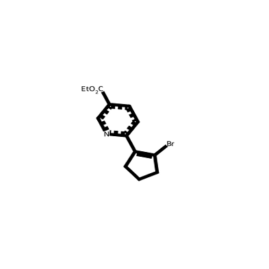 CCOC(=O)c1ccc(C2=C(Br)CCC2)nc1